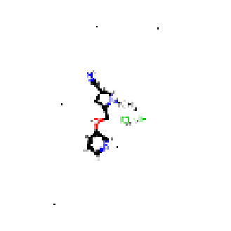 CN1CC(C#N)CC1COc1cccnc1.Cl.Cl